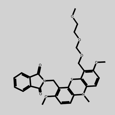 COCCOCOCc1c(OC)ccc2c1Sc1c(ccc(OC)c1CN1C(=O)c3ccccc3C1=O)N2C